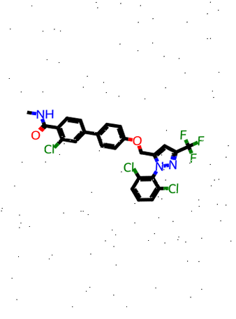 CNC(=O)c1ccc(-c2ccc(OCc3cc(C(F)(F)F)nn3-c3c(Cl)cccc3Cl)cc2)cc1Cl